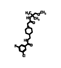 COCC(C)(C)NC(=O)CN1CCC(CNC(=O)c2cc(F)cc(Cl)c2)CC1